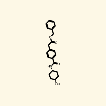 O=C(Cc1ccc(C(=O)N[C@H]2CC[C@H](O)CC2)cc1)OCc1ccccc1